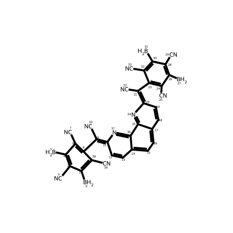 Bc1c(C#N)c(B)c(C#N)c(/C(C#N)=c2\ccc3ccc4cc/c(=C(/C#N)c5c(C#N)c(B)c(C#N)c(B)c5C#N)nc4c3n2)c1C#N